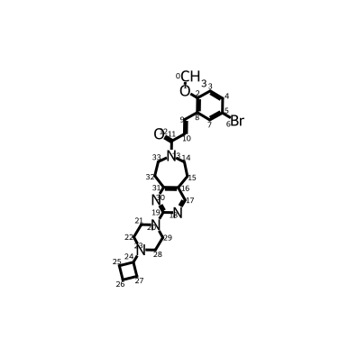 COc1ccc(Br)cc1C=CC(=O)N1CCc2cnc(N3CCN(C4CCC4)CC3)nc2CC1